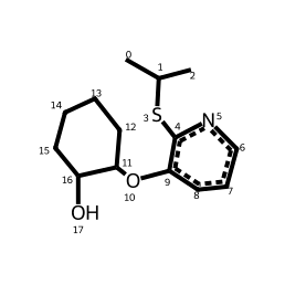 CC(C)Sc1ncccc1OC1CCCCC1O